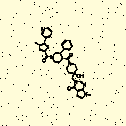 Cc1cc(C(=O)N2CC[C@@H](C(=O)N3CCC(O)(Cn4cnc5c(ccn5C)c4=O)CC3)[C@H](c3ccccc3)C2)sc1-c1cccnc1